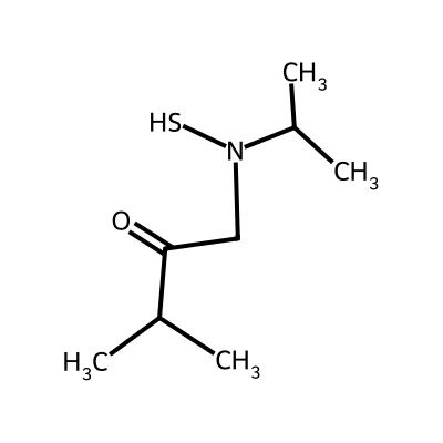 CC(C)C(=O)CN(S)C(C)C